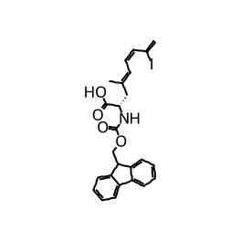 C=C(I)/C=C\C=C(/C)C[C@H](NC(=O)OCC1c2ccccc2-c2ccccc21)C(=O)O